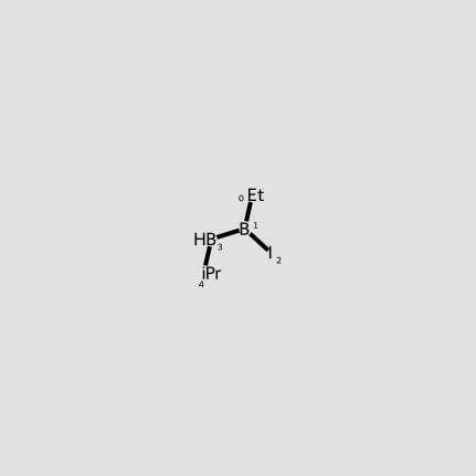 CCB(I)BC(C)C